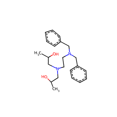 CC(O)CN(CCN(Cc1ccccc1)Cc1ccccc1)CC(C)O